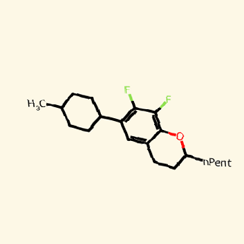 CCCCCC1CCc2cc(C3CCC(C)CC3)c(F)c(F)c2O1